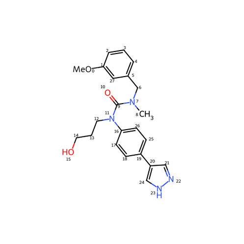 COc1cccc(CN(C)C(=O)N(CCCO)c2ccc(-c3cn[nH]c3)cc2)c1